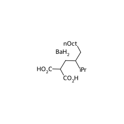 CCCCCCCCCC(CC(C(=O)O)C(=O)O)C(C)C.[BaH2]